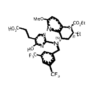 CCOC(=O)N1c2ccc(OC)nc2[C@@H](N(Cc2cc(C(F)(F)F)cc(C(F)(F)F)c2)c2ncc(CCC(=O)O)c(O)n2)C[C@H]1CC